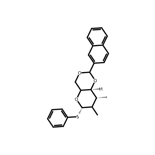 CC1[C@@H](C)[C@@H]2OC(c3ccc4ccccc4c3)OCC2O[C@H]1Sc1ccccc1